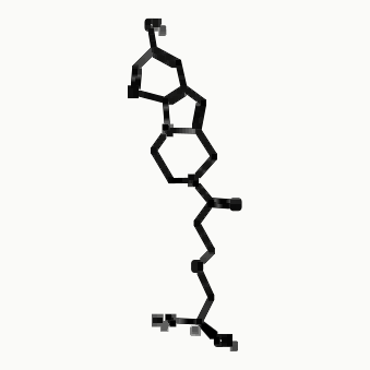 C[C@@H](N)COCCC(=O)N1CCn2c(cc3cc(C(F)(F)F)cnc32)C1